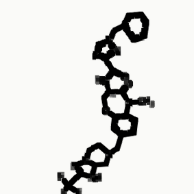 CN1C(=O)[C@H](NC(=O)c2ncn(Cc3ccccc3)n2)COc2cc(CN3CCN4N=C(C(F)(F)F)NC4C3)ccc21